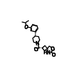 CC(C)Oc1cccc(C2CCN(C(=O)[C@H]3C[C@]4(COC(=O)N4)C3)CC2)c1